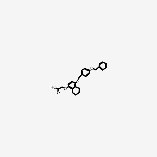 O=C(O)COc1ccc(SCc2ccc(OCc3ccccc3)cc2)c2c1CCCC2